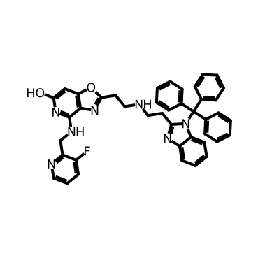 Oc1cc2oc(CCNCCc3nc4ccccc4n3C(c3ccccc3)(c3ccccc3)c3ccccc3)nc2c(NCc2ncccc2F)n1